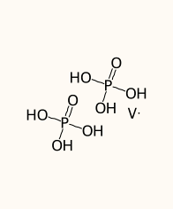 O=P(O)(O)O.O=P(O)(O)O.[V]